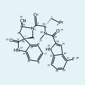 CC(C)C[C@@H](C(=O)N1C[C@]2(C[C@H]1C#N)C(=O)Nc1ccccc12)N(C)C(=O)c1cc2c(F)cccc2[nH]1